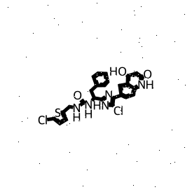 O=C(NCc1ccc(Cl)s1)NC(Cc1ccccc1)c1nc(-c2ccc3[nH]c(=O)cc(O)c3c2)c(Cl)[nH]1